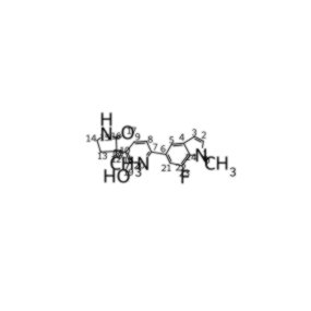 Cn1ccc2cc(-c3ccc([C@@]4(C)CCNC4=O)c(O)n3)cc(F)c21